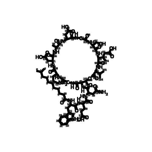 CC(C)CCCCCCCCC(=O)NC(Cc1c[nH]c2ccccc12)C(=O)NC(CCC(=O)O)C(=O)NC(CC(N)=O)C(=O)NC1C(=O)NCC(=O)NC(CCCN)C(=O)NC(CC(=O)O)C(=O)NC(C)C(=O)NC(CC(=O)O)C(=O)NCC(=O)NC(CO)C(=O)NC(C(C)CC(=O)O)C(=O)NC(C(C)C)C(=O)OC1C